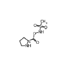 CS(=O)(=O)NOC(=O)[C@@H]1CCCN1